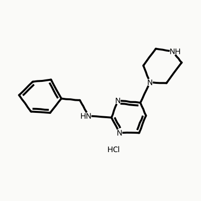 Cl.c1ccc(CNc2nccc(N3CCNCC3)n2)cc1